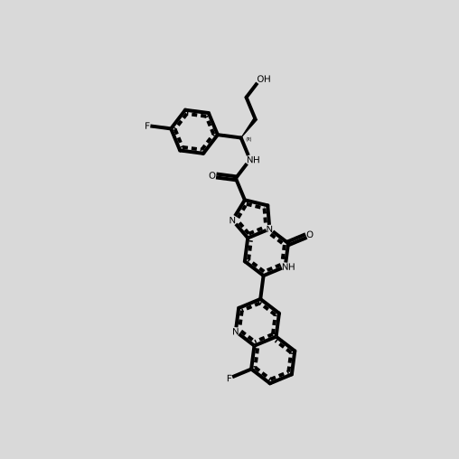 O=C(N[C@H](CCO)c1ccc(F)cc1)c1cn2c(=O)[nH]c(-c3cnc4c(F)cccc4c3)cc2n1